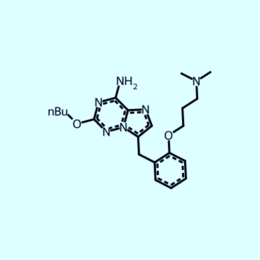 CCCCOc1nc(N)c2ncc(Cc3ccccc3OCCCN(C)C)n2n1